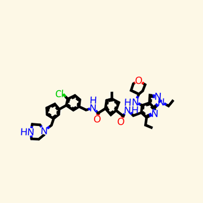 CCc1nc2c(cnn2CC)c(NC2CCOCC2)c1CNC(=O)c1cc(C)cc(C(=O)NCc2ccc(Cl)c(-c3cccc(CN4CCCNCC4)c3)c2)c1